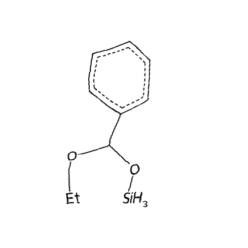 CCOC(O[SiH3])c1ccccc1